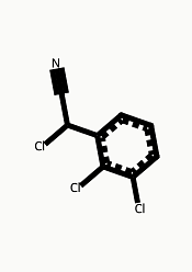 N#CC(Cl)c1cccc(Cl)c1Cl